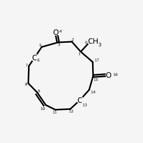 CC1CC(=O)CCCC/C=C/CCCCC(=O)C1